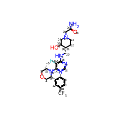 C[C@H]1COC[C@@H](c2cccc(C(F)(F)F)c2)N1c1ncnc(NC[C@H]2CCN(CC(N)=O)C[C@@H]2O)c1F